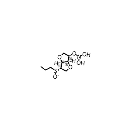 CCC[S+]([O-])[C@@H]1CO[C@H]2[C@@H]1OC[C@H]2ON(O)O